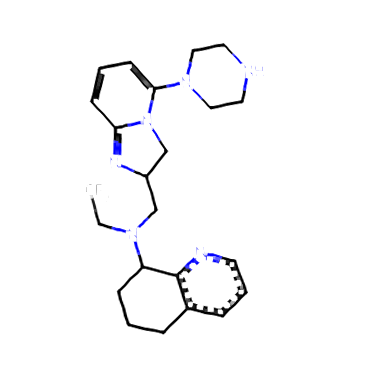 FC(F)(F)CN(CC1CN2C(N3CCNCC3)=CC=CC2=N1)C1CCCc2cccnc21